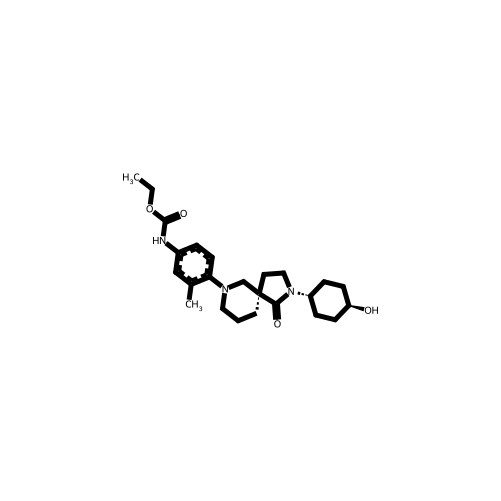 CCOC(=O)Nc1ccc(N2CCC[C@@]3(CCN([C@H]4CC[C@H](O)CC4)C3=O)C2)c(C)c1